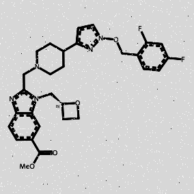 COC(=O)c1ccc2nc(CN3CCC(c4ccn(OCc5ccc(F)cc5F)n4)CC3)n(C[C@@H]3CCO3)c2c1